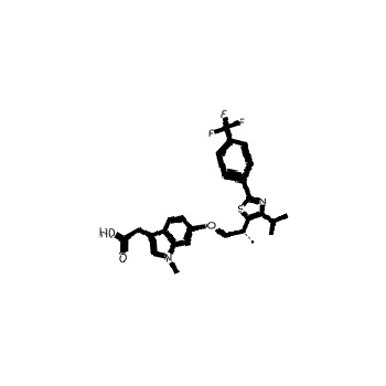 CC(C)c1nc(-c2ccc(C(F)(F)F)cc2)sc1[C@H](C)COc1ccc2c(CC(=O)O)cn(C)c2c1